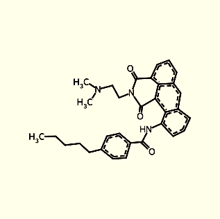 CCCCCc1ccc(C(=O)Nc2cccc3cc4cccc5c4c(c23)C(=O)N(CCN(C)C)C5=O)cc1